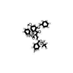 COc1ccc(C(=O)C(CC[C@H](O[Si](C)(C)C(C)(C)C)c2ccc(F)cc2)S(=O)(=O)Nc2ccccc2)c(OCc2ccccc2)c1